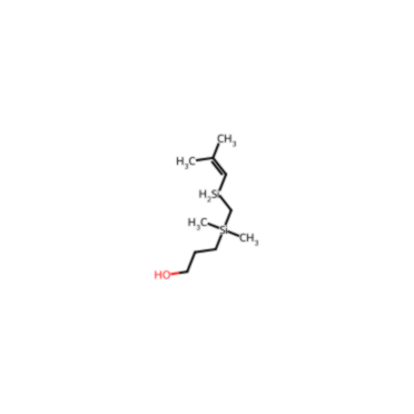 CC(C)=C[SiH2]C[Si](C)(C)CCCO